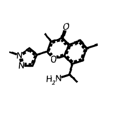 Cc1cc(C(C)N)c2oc(-c3cnn(C)c3)c(C)c(=O)c2c1